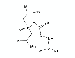 CCCCC(CC)CP(=O)(CC(CC)CCCC)OC(=O)ONC(=N)N